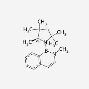 C[C@@H]1N(B2c3ccccc3C=CN2C)C(C)(C)CC1(C)C